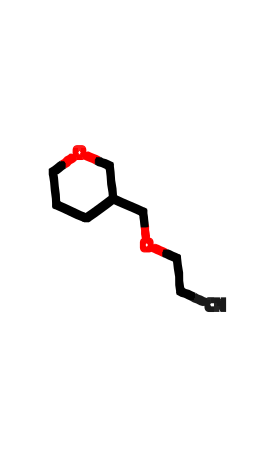 N#CCCOCC1CCCOC1